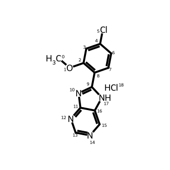 COc1cc(Cl)ccc1-c1nc2ncncc2[nH]1.Cl